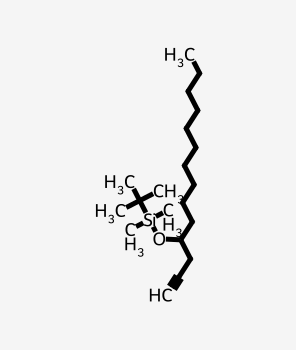 C#CCC(CCCCCCCCCC)O[Si](C)(C)C(C)(C)C